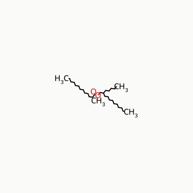 CCCCCCCCCCCC(C)C(=O)OCC(CCCCC)CCCCCCCCCC